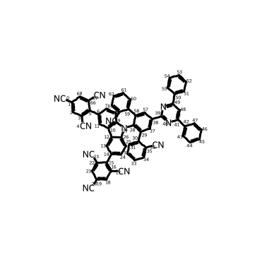 N#Cc1cc(C#N)c(-c2ccc3c(c2)c2cc(-c4c(C#N)cc(C#N)cc4C#N)ccc2n3-c2c(-c3ccccc3C#N)cc(-c3nc(-c4ccccc4)cc(-c4ccccc4)n3)cc2-c2ccccc2C#N)c(C#N)c1